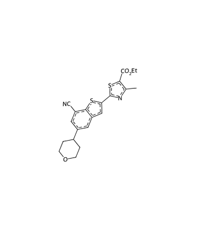 CCOC(=O)c1sc(-c2cc3cc(C4CCOCC4)cc(C#N)c3s2)nc1C